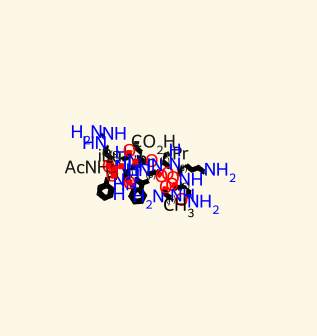 CC[C@H](C)C(NC(=O)[C@H](Cc1ccccc1)NC(=O)[C@H](CC(C)C)NC(=O)[C@H](CCCNC(=N)N)NC(C)=O)C(=O)N[C@@H](CCC(=O)O)C(=O)N[C@@H](Cc1c[nH]c2ccccc12)C(=O)N[C@@H](CC(C)C)C(=O)N[C@@H](CCCCN)C(=O)N[C@@H](CC(N)=O)C(=O)N[C@H](C)C(N)=O